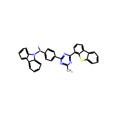 Cc1nc(-c2ccc(B(I)n3c4ccccc4c4ccccc43)cc2)nc(-c2cccc3c2sc2ccccc23)n1